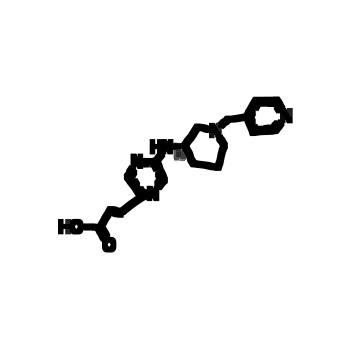 O=C(O)C=Cc1cnc(N[C@@H]2CCCN(Cc3ccncc3)C2)cn1